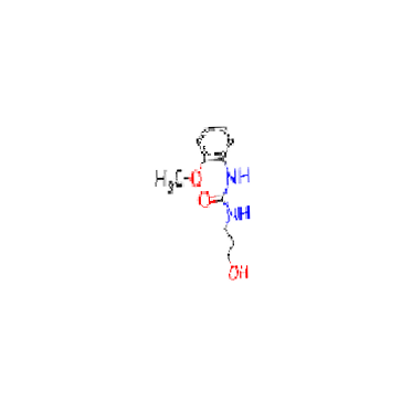 COc1ccccc1NC(=O)NCCCO